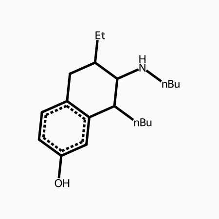 CCCCNC1C(CC)Cc2ccc(O)cc2C1CCCC